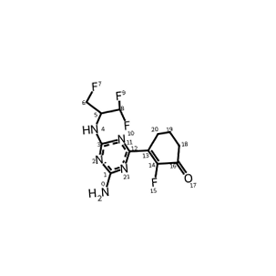 Nc1nc(NC(CF)C(F)F)nc(C2=C(F)C(=O)CCC2)n1